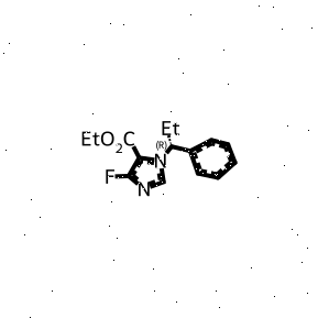 CCOC(=O)c1c(F)ncn1[C@H](CC)c1ccccc1